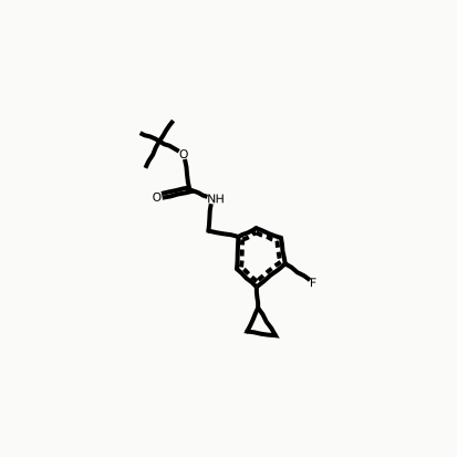 CC(C)(C)OC(=O)NCc1ccc(F)c(C2CC2)c1